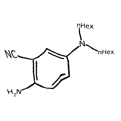 CCCCCCN(CCCCCC)c1ccc(N)c(C#N)c1